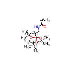 C=CC(=O)NCCC(O[Si](C)(C)C)(O[Si](C)(C)C)O[Si](C)(C)C